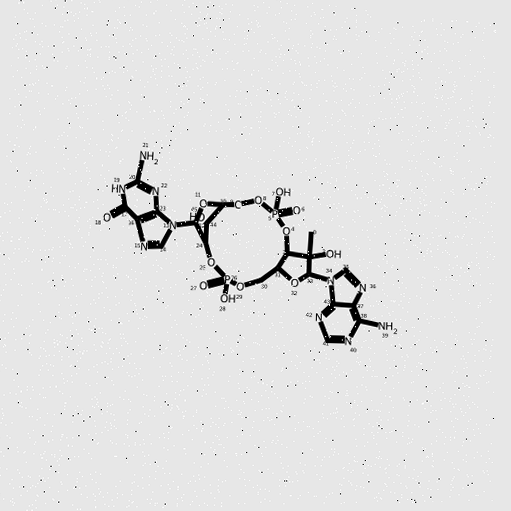 CC1(O)C2OP(=O)(O)OCC3OC(n4cnc5c(=O)[nH]c(N)nc54)C(OP(=O)(O)OCC2OC1n1cnc2c(N)ncnc21)C3O